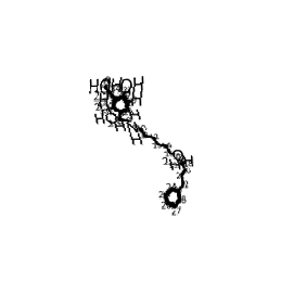 [2H]c1c([2H])c(C([2H])(O)CNCCCCCCOC([2H])([2H])CCCc2ccccc2)c([2H])c(C([2H])([2H])O)c1O